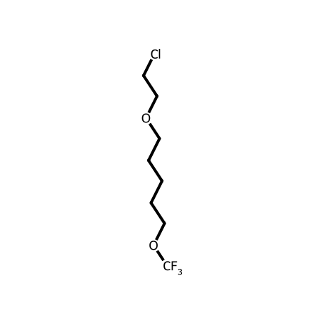 FC(F)(F)OCCCCCOCCCl